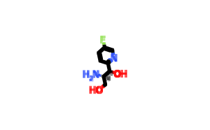 N[C@@H](CO)[C@H](O)c1ccc(F)cn1